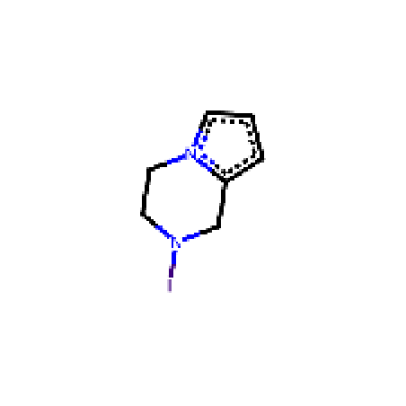 IN1CCn2cccc2C1